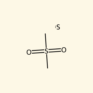 CS(C)(=O)=O.[S]